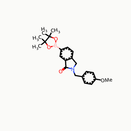 COc1ccc(CN2Cc3ccc(B4OC(C)(C)C(C)(C)O4)cc3C2=O)cc1